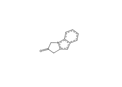 O=C1Cc2cc3ccccc3n2C1